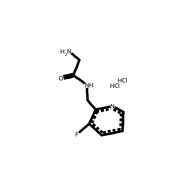 Cl.Cl.NCC(=O)NCc1ncccc1F